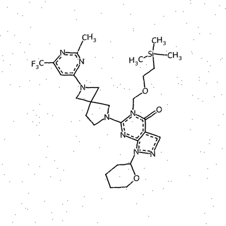 Cc1nc(N2CC3(CCN(c4nc5c(cnn5C5CCCCO5)c(=O)n4COCC[Si](C)(C)C)C3)C2)cc(C(F)(F)F)n1